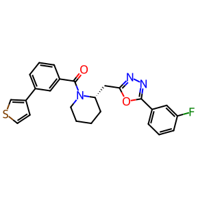 O=C(c1cccc(-c2ccsc2)c1)N1CCCC[C@H]1Cc1nnc(-c2cccc(F)c2)o1